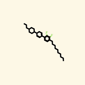 CCCCCCCCCCc1ccc(C2=CCC(C3CCC(CCC)CC3)C=C2)c(F)c1F